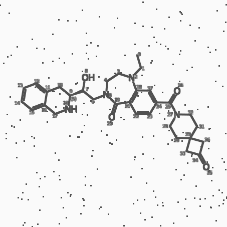 CCN1CCN(CC(O)[C@@H]2Cc3ccccc3CN2)C(=O)c2ccc(C(=O)N3CCC4(CC3)CC(=O)C4)cc21